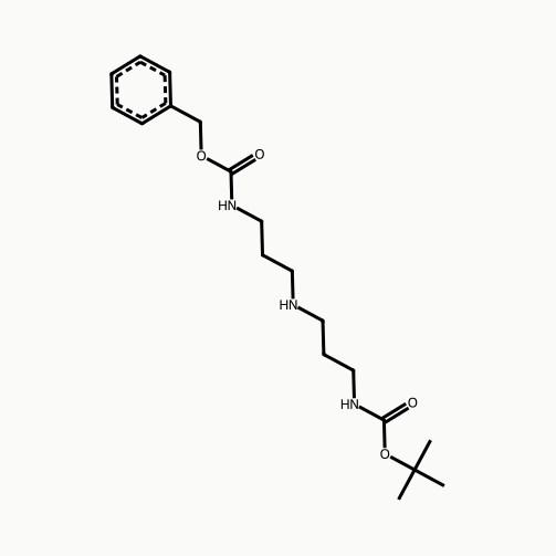 CC(C)(C)OC(=O)NCCCNCCCNC(=O)OCc1ccccc1